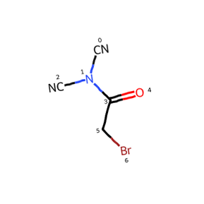 N#CN(C#N)C(=O)CBr